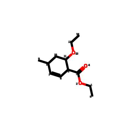 CCOC(=O)C1C=CC(C)CC1OCC